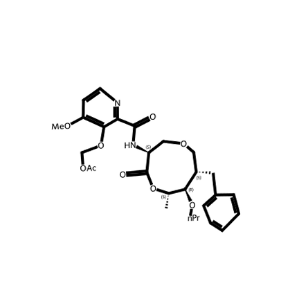 CCCO[C@@H]1[C@@H](Cc2ccccc2)COC[C@H](NC(=O)c2nccc(OC)c2OCOC(C)=O)C(=O)O[C@H]1C